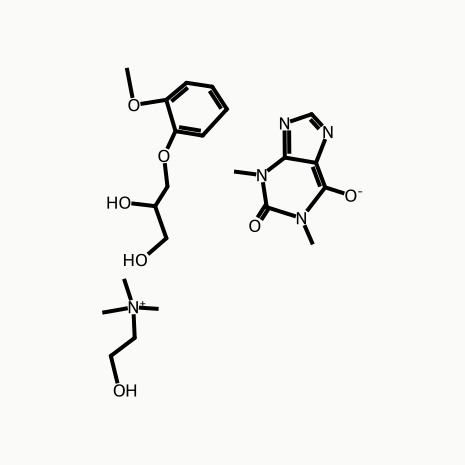 COc1ccccc1OCC(O)CO.C[N+](C)(C)CCO.Cn1c2ncnc-2c([O-])n(C)c1=O